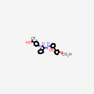 O=C(O)Oc1cccc(-c2cccc(NN=C3C(=O)N(c4ccc(C(O)C(F)(F)F)cc4)c4ccccc43)c2O)c1